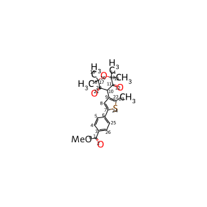 COC(=O)c1ccc(-c2cc(C3C(=O)C(C)(C)OC(C)(C)C3=O)c(C)s2)cc1